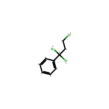 BrCCC(Br)(Br)c1ccccc1